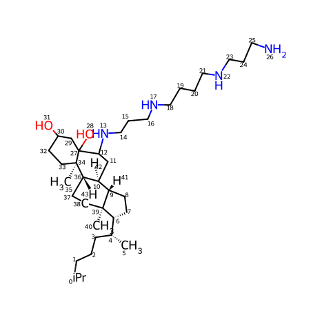 CC(C)CCC[C@@H](C)[C@H]1CC[C@H]2[C@@H]3CC(NCCCNCCCCNCCCN)C4(O)CC(O)CC[C@]4(C)[C@H]3CC[C@]12C